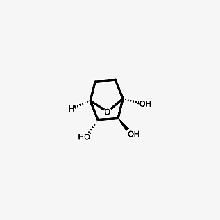 O[C@@H]1[C@H]2CC[C@](O)(O2)[C@H]1O